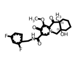 COc1c2n(cc(C(=O)NCc3ccc(F)cc3F)c1=O)C[C@]1(O)CCCC[C@]1(C)C2=O